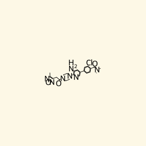 Cc1nonc1CC(=O)N1CCN(c2ncc(-c3ccc(C(=O)N(C)C)c(Cl)c3)cc2N)CC1